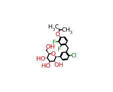 CC(C)Oc1ccc(Cc2cc([C@@H]3O[C@H](CO)[C@@H](O)[C@H](O)[C@H]3O)ccc2Cl)c(F)c1F